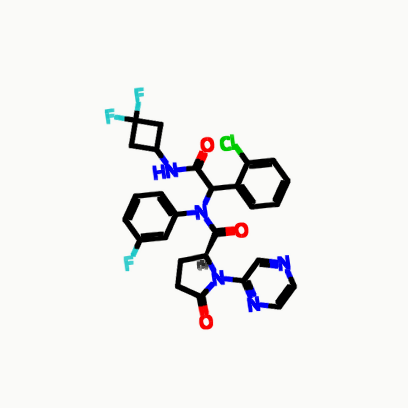 O=C(NC1CC(F)(F)C1)C(c1ccccc1Cl)N(C(=O)[C@@H]1CCC(=O)N1c1cnccn1)c1cccc(F)c1